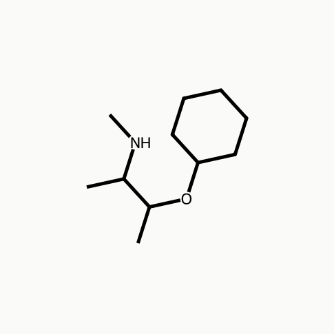 CNC(C)C(C)OC1CCCCC1